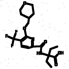 CCC(CC)(NC(=O)c1ccc(C(F)(F)F)c(OCC2CCOCC2)n1)C(=O)O